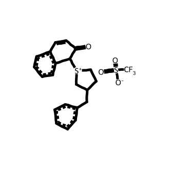 O=C1C=Cc2ccccc2C1[S+]1CCC(Cc2ccccc2)C1.O=S(=O)([O-])C(F)(F)F